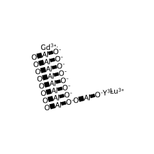 [Gd+3].[Lu+3].[O]=[Al][O-].[O]=[Al][O-].[O]=[Al][O-].[O]=[Al][O-].[O]=[Al][O-].[O]=[Al][O-].[O]=[Al][O-].[O]=[Al][O-].[O]=[Al][O-].[Y+3]